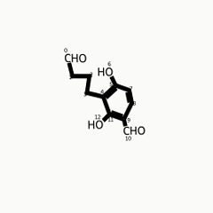 O=CCCCc1c(O)ccc(C=O)c1O